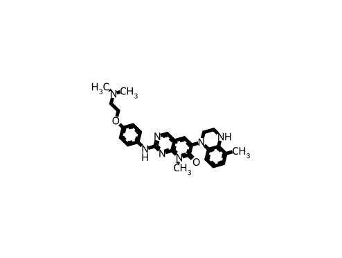 Cc1cccc2c1NCCN2c1cc2cnc(Nc3ccc(OCCN(C)C)cc3)nc2n(C)c1=O